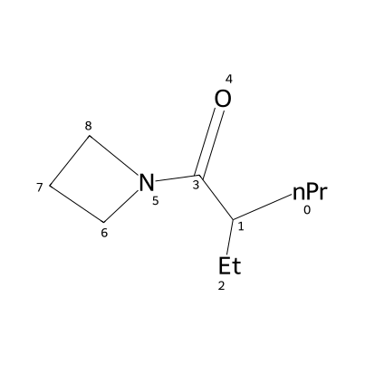 CCCC(CC)C(=O)N1CCC1